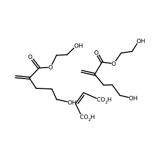 C=C(CCCO)C(=O)OCCO.C=C(CCCO)C(=O)OCCO.O=C(O)/C=C\C(=O)O